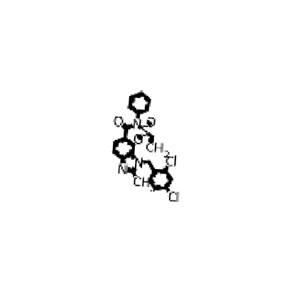 C=CS(=O)(=O)N(C(=O)c1ccc2nc(C)n(Cc3ccc(Cl)cc3Cl)c2c1)c1ccccc1